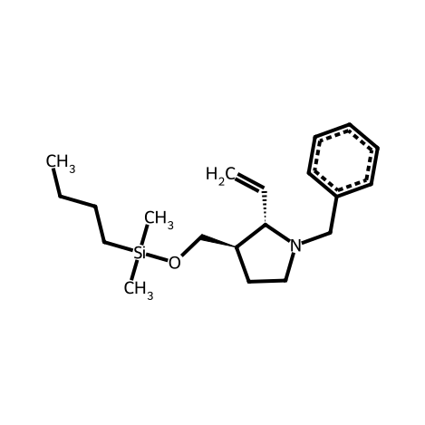 C=C[C@H]1[C@H](CO[Si](C)(C)CCCC)CCN1Cc1ccccc1